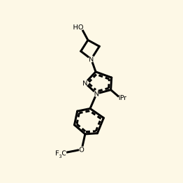 CC(C)c1cc(N2CC(O)C2)nn1-c1ccc(OC(F)(F)F)cc1